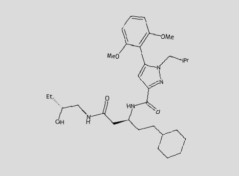 CC[C@@H](O)CNC(=O)C[C@H](CCC1CCCCC1)NC(=O)c1cc(-c2c(OC)cccc2OC)n(CC(C)C)n1